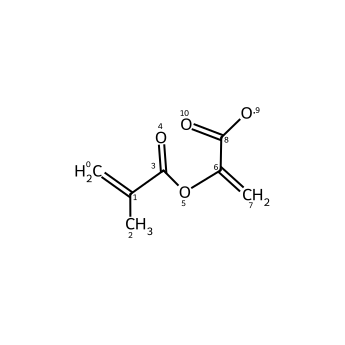 C=C(C)C(=O)OC(=C)C([O])=O